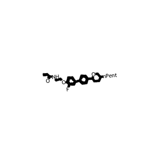 C=CC(=O)NCCOc1ccc(-c2ccc(C3CCC(CCCCC)CO3)cc2)cc1F